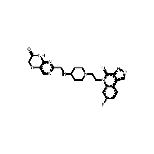 O=C1COc2cnc(CNC3CCN(CCn4c(=O)c5nocc5c5ccc(F)cc54)CC3)nc2N1